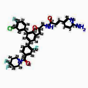 Nc1ccc(C=CC(=O)NCc2cc3cc(-c4ccc(C(=O)N5CCC(F)(F)CC5)cc4F)cc(-c4ccc(F)c(Cl)c4)c3o2)cn1